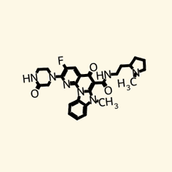 CN1CCCC1CCNC(=O)c1c(=O)c2cc(F)c(N3CCNC(=O)C3)nc2n2c3ccccc3n(C)c12